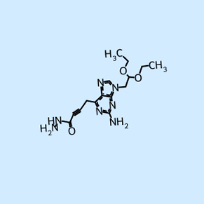 CCOC(Cn1cnc2c(CC#CC(=O)NN)nc(N)nc21)OCC